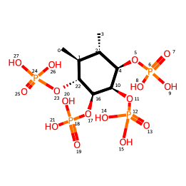 C[C@H]1[C@H](C)[C@@H](OP(=O)(O)O)[C@@H](OP(=O)(O)O)[C@@H](OP(=O)(O)O)[C@@H]1OP(=O)(O)O